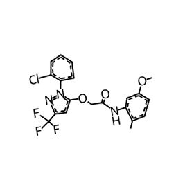 COc1ccc(C)c(NC(=O)COc2cc(C(F)(F)F)nn2-c2ccccc2Cl)c1